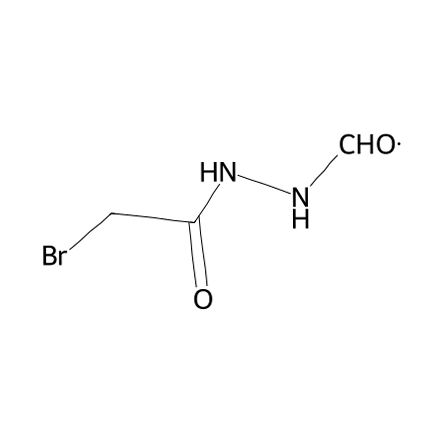 O=[C]NNC(=O)CBr